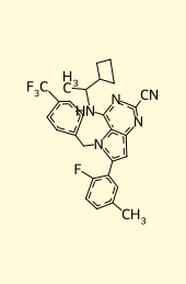 Cc1ccc(F)c(-c2cc3nc(C#N)nc(NC(C)C4CCC4)c3n2Cc2ccc(C(F)(F)F)cc2)c1